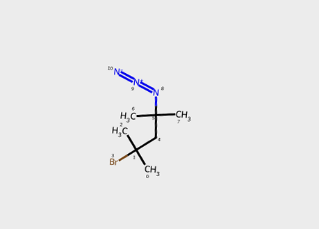 CC(C)(Br)CC(C)(C)N=[N+]=[N-]